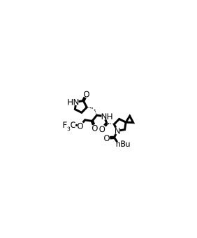 CCCCC(=O)N1CC2(CC2)C[C@H]1C(=O)N[C@@H](C[C@@H]1CCNC1=O)C(=O)COC(F)(F)F